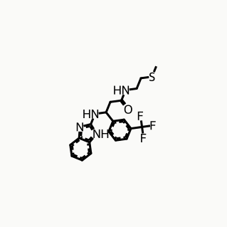 CSCCNC(=O)CC(Nc1nc2ccccc2[nH]1)c1cccc(C(F)(F)F)c1